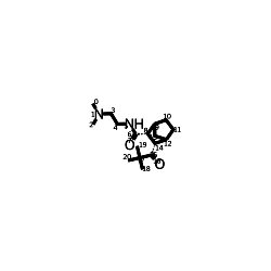 CN(C)CCNC(=O)[C@@H]1C2CCC(C2)[C@@H]1C(=O)C(C)(C)C